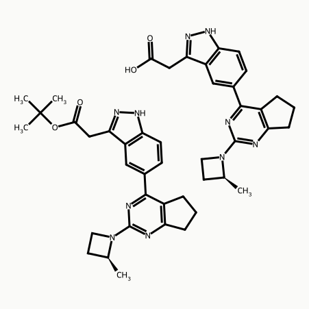 C[C@H]1CCN1c1nc2c(c(-c3ccc4[nH]nc(CC(=O)O)c4c3)n1)CCC2.C[C@H]1CCN1c1nc2c(c(-c3ccc4[nH]nc(CC(=O)OC(C)(C)C)c4c3)n1)CCC2